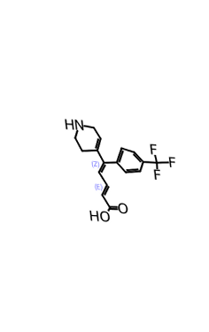 O=C(O)/C=C/C=C(/C1=CCNCC1)c1ccc(C(F)(F)F)cc1